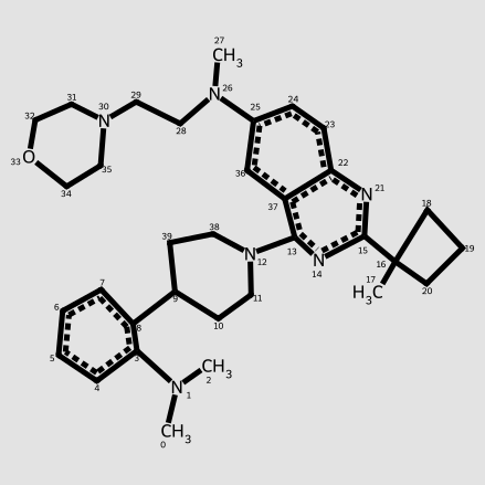 CN(C)c1ccccc1C1CCN(c2nc(C3(C)CCC3)nc3ccc(N(C)CCN4CCOCC4)cc23)CC1